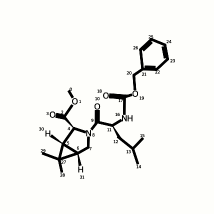 COC(=O)[C@@H]1[C@@H]2[C@H](CN1C(=O)[C@H](CC(C)C)NC(=O)OCc1ccccc1)C2(C)C